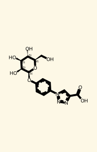 O=C(O)c1cn(-c2ccc(O[C@@H]3O[C@H](CO)[C@@H](O)[C@H](O)[C@@H]3O)cc2)nn1